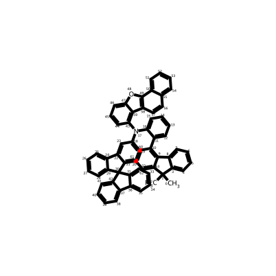 CC1(C)c2ccccc2-c2c(-c3ccccc3N(c3ccc4c(c3)-c3ccccc3C43c4ccccc4-c4ccccc43)c3cccc4oc5c6ccccc6ccc5c34)cccc21